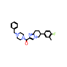 Cc1cc(C2CCc3nc(C(=O)N4CCN(Cc5ccccc5)CC4)cn3C2)ccc1F